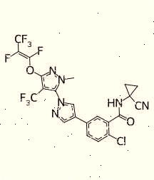 Cn1nc(OC(F)=C(F)C(F)(F)F)c(C(F)(F)F)c1-n1cc(-c2ccc(Cl)c(C(=O)NC3(C#N)CC3)c2)cn1